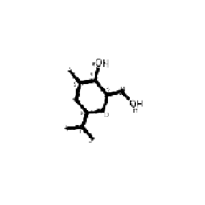 CC(C)C1CC(C)C(O)C(CO)C1